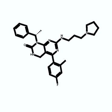 Cc1cc(F)ccc1-c1nc(NCCCN2CCCC2)nc2c1CNC(=O)N2[C@@H](C)c1ccccc1